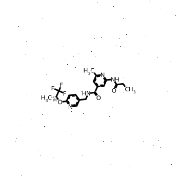 CCC(=O)Nc1cc(C(=O)NCc2ccc(O[C@H](C)C(F)(F)F)nc2)cc(C)n1